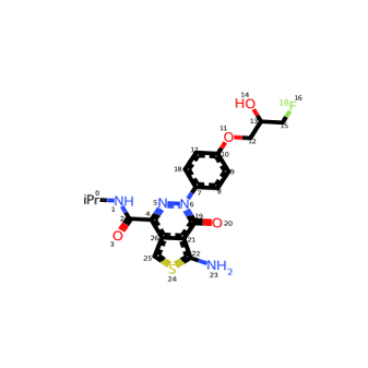 CC(C)NC(=O)c1nn(-c2ccc(OCC(O)C[18F])cc2)c(=O)c2c(N)scc12